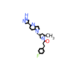 C[C@@H]1C[C@H](Cn2ccc3nc(-c4cn[nH]c4)ccc32)CN1C(=O)CCc1ccc(F)cc1